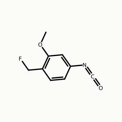 COc1cc(N=C=O)ccc1CF